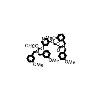 COc1cccc(CN(Cc2cccc(OC)c2)C(=O)OCOc2cncc(OC(OC=O)N(Cc3cccc(OC)c3)Cc3cccc(OC)c3)c2)c1